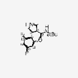 CC(C)(C)NC(=O)[C@@H]1CNC[C@H]1c1ccc(F)cc1F